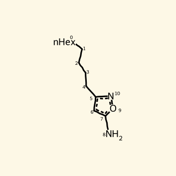 CCCCCCCCCCc1cc(N)on1